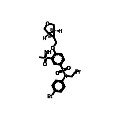 CCc1ccc(N(CC(C)C)S(=O)(=O)c2ccc(OCC3[C@H]4COC[C@@H]34)c(S(C)(=N)=O)c2)cc1